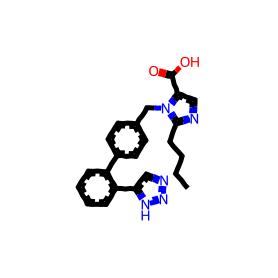 CCCCc1ncc(C(=O)O)n1Cc1ccc(-c2ccccc2-c2cnn[nH]2)cc1